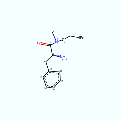 CC(C)CCN(C)C(=O)[C@@H](N)Cc1ccccc1